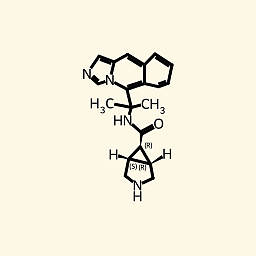 CC(C)(NC(=O)[C@H]1[C@@H]2CNC[C@@H]21)c1c2ccccc2cc2cncn12